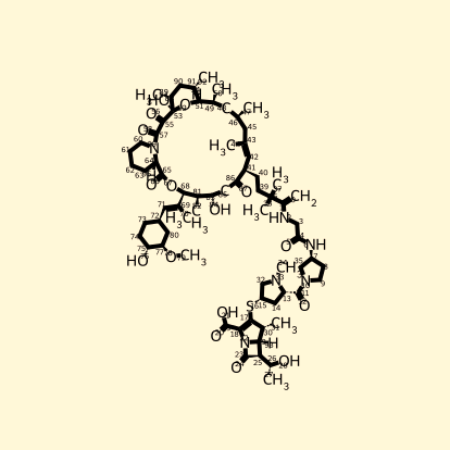 C=C(NCC(=O)N[C@H]1CCN(C(=O)[C@@H]2C[C@H](SC3=C(C(=O)O)N4C(=O)[C@H]([C@@H](C)O)[C@H]4[C@H]3C)CN2C)C1)C(C)(C)CC[C@@H]1/C=C(\C)C[C@H](C)C[C@H](C)[C@H]2O[C@@](O)(C(=O)C(=O)N3CCCC[C@H]3C(=O)O[C@H](/C(C)=C/[C@@H]3CC[C@@H](O)[C@H](OC)C3)[C@H](C)[C@@H](O)CC1=O)[C@H](C)C[C@@H]2C